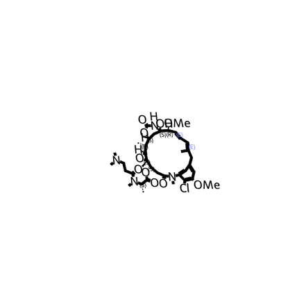 COc1cc2cc(c1Cl)N(C)C(=O)C[C@H](OC(=O)[C@H](C)N(C)C(=O)CCN(C)C)[C@]1(C)O[C@H]1[C@H](C)[C@@H]1C[C@@](O)(NC(=O)O1)[C@H](OC)/C=C/C=C(\C)C2